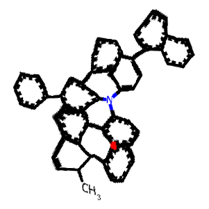 CC1C=Cc2cccc(-c3ccccc3N(C3=CC=C(c4cccc5ccccc45)CC3)c3ccc(-c4ccccc4)cc3-c3ccccc3)c2C1c1ccccc1